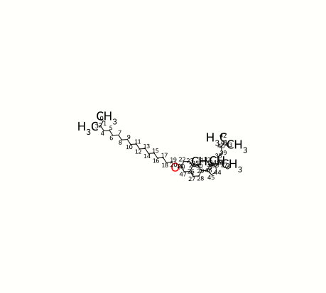 CCC(C)CCCCCCCCCCCCCCCCO[C@H]1CCC2(C)C(=CCC3C2CCC2(C)C(C(C)CCCC(C)C)CCC32)C1